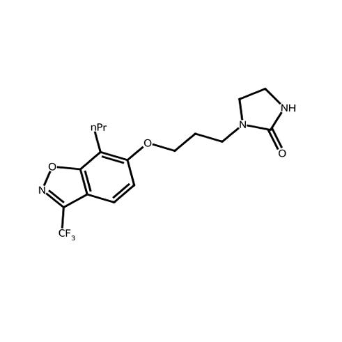 CCCc1c(OCCCN2CCNC2=O)ccc2c(C(F)(F)F)noc12